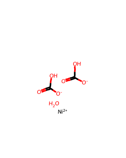 O.O=C([O-])O.O=C([O-])O.[Ni+2]